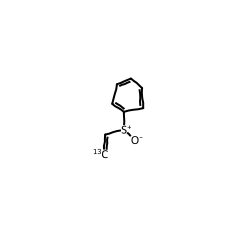 [13CH2]=C[S+]([O-])c1ccccc1